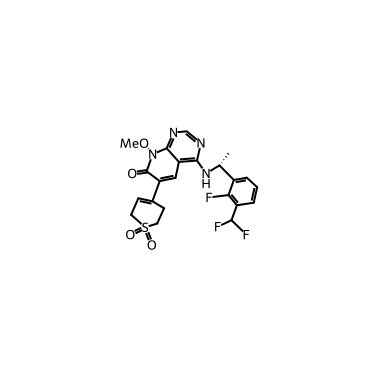 COn1c(=O)c(C2=CCS(=O)(=O)CC2)cc2c(N[C@H](C)c3cccc(C(F)F)c3F)ncnc21